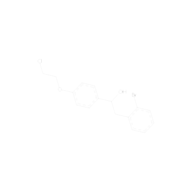 OC(Cc1ccccc1Br)c1ccc(OCCCl)cc1